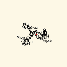 COCCOCCOCCN(CC(C)(C)SCCCC(=O)ON1C(=O)CCC1O)c1cc(COc2cc3c(cc2OC)C(=O)N2c4ccccc4C[C@H]2C=N3)cc(COc2cc3c(cc2OC)C(=O)N2c4ccccc4C[C@H]2CN3)c1